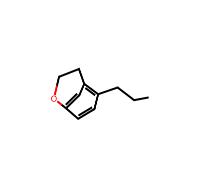 CCCc1ccc2cc1CCO2